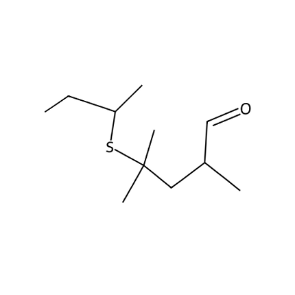 CCC(C)SC(C)(C)CC(C)C=O